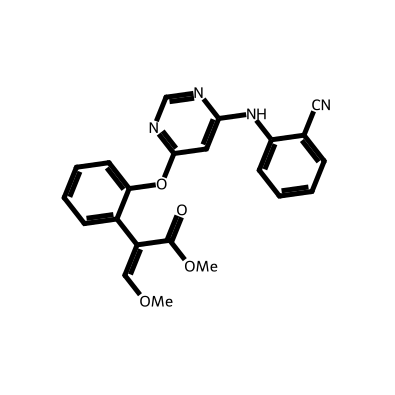 COC=C(C(=O)OC)c1ccccc1Oc1cc(Nc2ccccc2C#N)ncn1